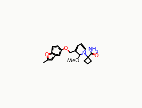 COC1C(COc2ccc3oc(C)cc3c2)=CC=CN1C1(C(N)=O)CCC1